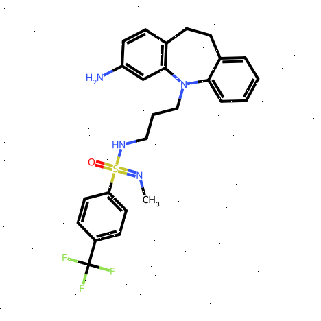 CN=S(=O)(NCCCN1c2ccccc2CCc2ccc(N)cc21)c1ccc(C(F)(F)F)cc1